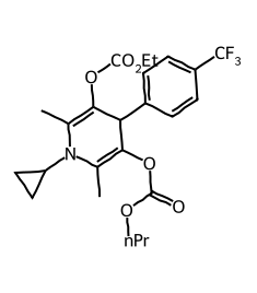 CCCOC(=O)OC1=C(C)N(C2CC2)C(C)=C(OC(=O)OCC)C1c1ccc(C(F)(F)F)cc1